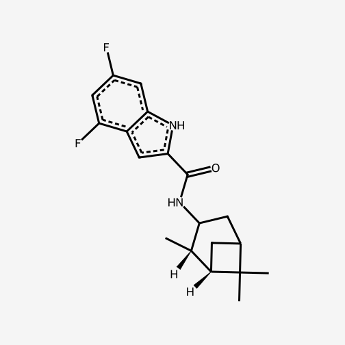 C[C@@H]1C(NC(=O)c2cc3c(F)cc(F)cc3[nH]2)CC2C[C@@H]1C2(C)C